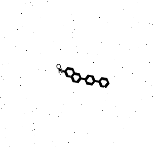 O=Nc1ccc2cc(-c3ccc(-c4ccccc4)cc3)ccc2c1